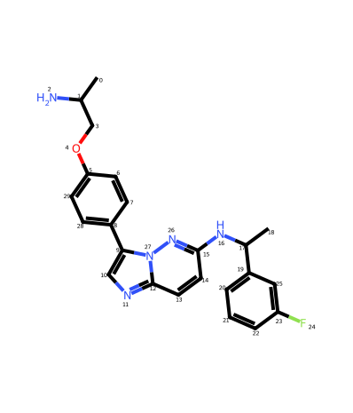 CC(N)COc1ccc(-c2cnc3ccc(NC(C)c4cccc(F)c4)nn23)cc1